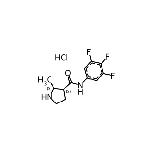 C[C@@H]1NCC[C@@H]1C(=O)Nc1cc(F)c(F)c(F)c1.Cl